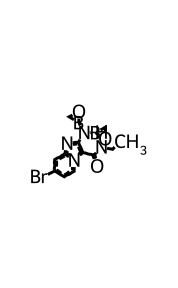 CCNC(=O)c1c(N(B2CO2)B2CO2)nc2cc(Br)ccn12